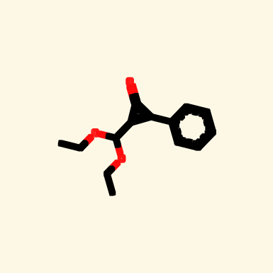 CCOC(OCC)c1c(-c2ccccc2)c1=O